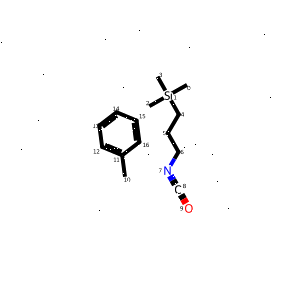 C[Si](C)(C)CCCN=C=O.Cc1ccccc1